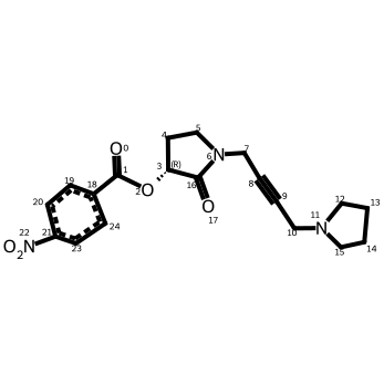 O=C(O[C@@H]1CCN(CC#CCN2CCCC2)C1=O)c1ccc([N+](=O)[O-])cc1